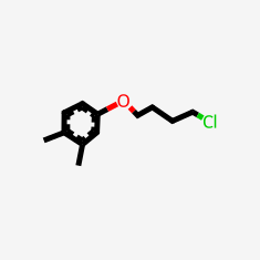 Cc1ccc(OCCCCCl)cc1C